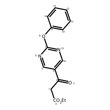 CCOC(=O)CC(=O)c1cnc(Oc2ccccc2)nc1